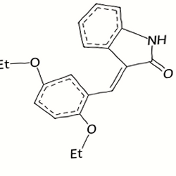 CCOc1ccc(OCC)c(/C=C2/C(=O)Nc3ccccc32)c1